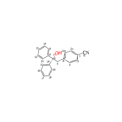 N#Cc1ccc(CC(O)(c2ccccc2)c2ccccc2)cc1